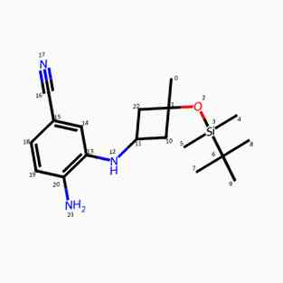 CC1(O[Si](C)(C)C(C)(C)C)CC(Nc2cc(C#N)ccc2N)C1